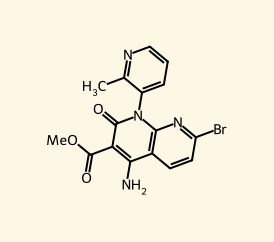 COC(=O)c1c(N)c2ccc(Br)nc2n(-c2cccnc2C)c1=O